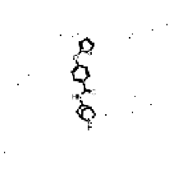 O=C(NC1CC2CC1CN2)c1ccc(Oc2cccs2)cc1